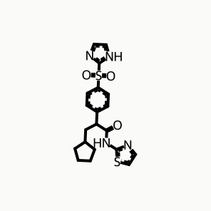 O=C(Nc1nccs1)C(CC1CCCC1)c1ccc(S(=O)(=O)c2ncc[nH]2)cc1